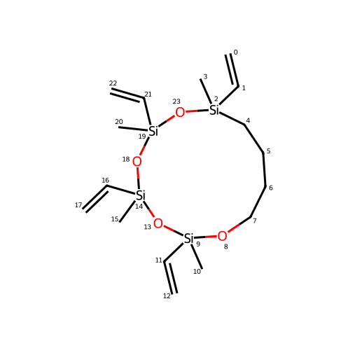 C=C[Si]1(C)CCCCO[Si](C)(C=C)O[Si](C)(C=C)O[Si](C)(C=C)O1